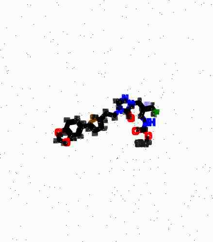 CC(C)(C)OC(=O)NC/C(=C\F)Cn1ncn(CCc2ccc(-c3ccc4c(c3)OCO4)s2)c1=O